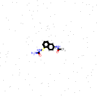 NC(=O)NSc1cccc2c1CC[C@H](NC(=O)C(F)(F)F)C2